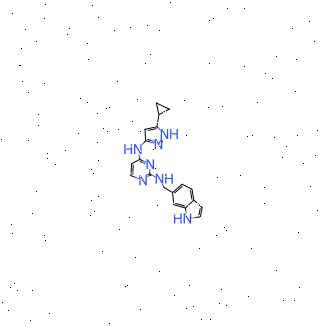 c1cc(Nc2cc(C3CC3)[nH]n2)nc(NCc2ccc3cc[nH]c3c2)n1